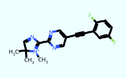 C[N+]1=C(c2ncc(C#Cc3cc(F)ccc3F)cn2)N=CC1(C)C